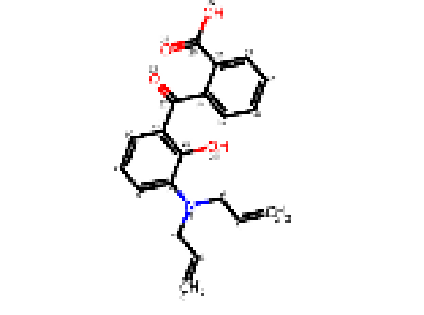 C=CCN(CC=C)c1cccc(C(=O)c2ccccc2C(=O)O)c1O